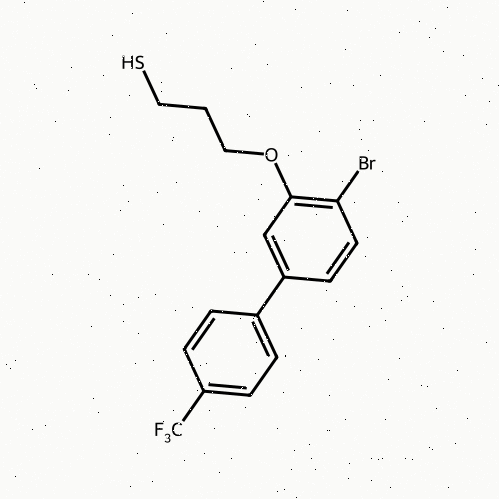 FC(F)(F)c1ccc(-c2ccc(Br)c(OCCCS)c2)cc1